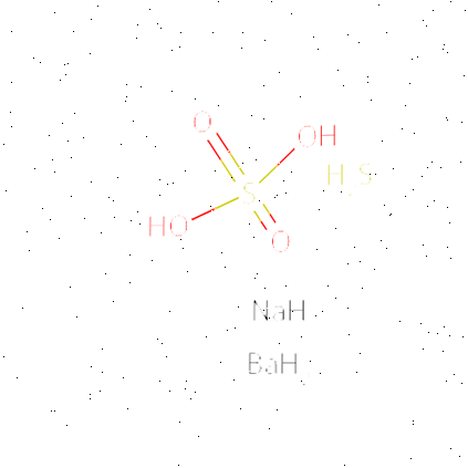 O=S(=O)(O)O.S.[BaH2].[NaH]